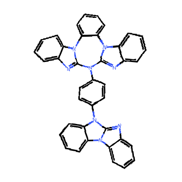 c1ccc2c(c1)nc1n(-c3ccc(-n4c5nc6ccccc6n5c5ccccc5n5c6ccccc6nc45)cc3)c3ccccc3n21